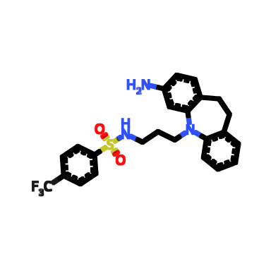 Nc1ccc2c(c1)N(CCCNS(=O)(=O)c1ccc(C(F)(F)F)cc1)c1ccccc1CC2